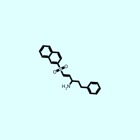 NC(C=CS(=O)(=O)c1ccc2ccccc2c1)CCc1ccccc1